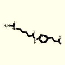 CC(=O)CCc1ccc(NC(=O)CCCCNC(N)=O)cc1